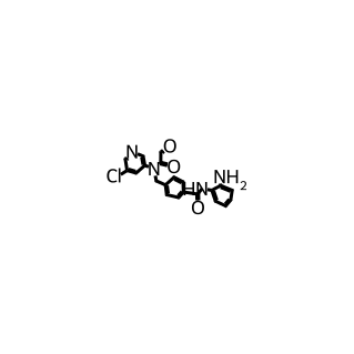 Nc1ccccc1NC(=O)c1ccc(CN(C(=O)C=O)c2cncc(Cl)c2)cc1